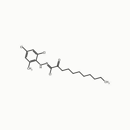 CCCCCCCCCC(=O)C(Cl)=NNc1c(C)cc(Cl)cc1Cl